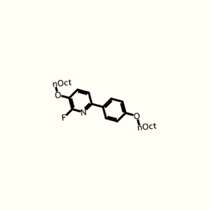 CCCCCCCCOc1ccc(-c2ccc(OCCCCCCCC)c(F)n2)cc1